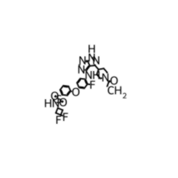 C=CC(=O)N1CCC(c2n[nH]c3ncnc(Nc4ccc(Oc5cccc(S(=O)(=O)NC6CC(F)(F)C6)c5)cc4F)c23)CC1